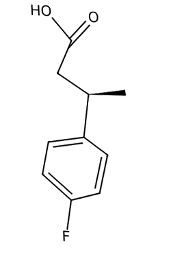 C[C@H](CC(=O)O)c1ccc(F)cc1